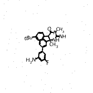 CN1C(=N)N[C@](C)(c2cccc(-c3cc(N)cc(F)c3)c2)C(c2ccc(C(C)(C)C)cc2)C1=O